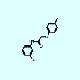 Cc1ccc(OCC(=O)Nc2cccc(O)c2)cc1